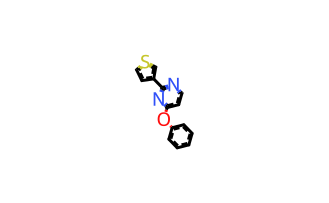 c1ccc(Oc2ccnc(-c3ccsc3)n2)cc1